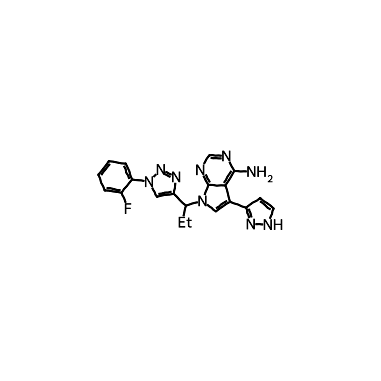 CCC(c1cn(-c2ccccc2F)nn1)n1cc(-c2cc[nH]n2)c2c(N)ncnc21